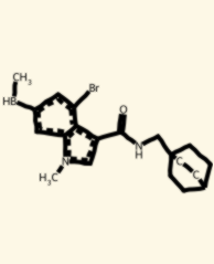 CBc1cc(Br)c2c(C(=O)NCC34CCC(CC3)CC4)cn(C)c2c1